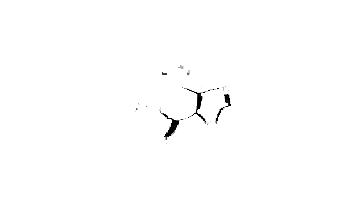 CNC(=O)c1ocnc1C